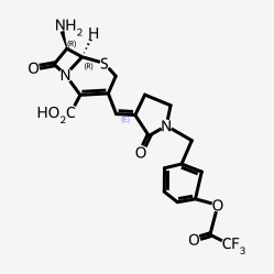 N[C@@H]1C(=O)N2C(C(=O)O)=C(/C=C3\CCN(Cc4cccc(OC(=O)C(F)(F)F)c4)C3=O)CS[C@H]12